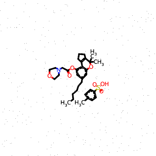 CCCCCCc1cc(OC(=O)CN2CCOCC2)c2c(c1)OC(C)(C)C1=C2CCC1.Cc1ccc(S(=O)(=O)O)cc1